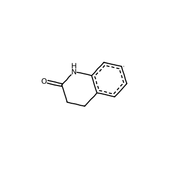 O=C1CCc2cc[c]cc2N1